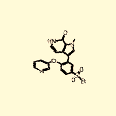 CCS(=O)(=O)c1ccc(Oc2cccnc2)c(-c2cn(C)c3c(=O)[nH]ccc23)c1